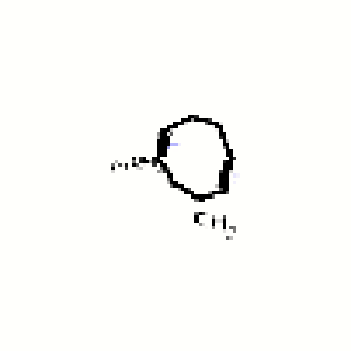 C1=C\CC/C=C\CC/1.[CH3-].[CH3-].[Pt+2]